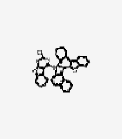 Clc1nc(-n2c3ccc4ccccc4c3c3c4sc5ccccc5c4c4ccccc4c32)c2c(n1)oc1ccccc12